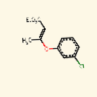 CCOC(=O)C=C(C)Oc1cccc(Cl)c1